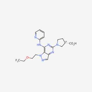 O=C(O)[C@H]1CCN(c2nc(Nc3ccccn3)c3c(cnn3CCOCC(F)(F)F)n2)C1